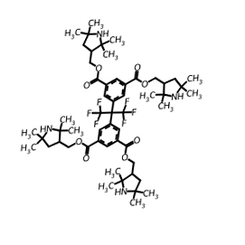 CC1(C)CC(COC(=O)c2cc(C(=O)OCC3CC(C)(C)NC3(C)C)cc(C(c3cc(C(=O)OCC4CC(C)(C)NC4(C)C)cc(C(=O)OCC4CC(C)(C)NC4(C)C)c3)(C(F)(F)F)C(F)(F)F)c2)C(C)(C)N1